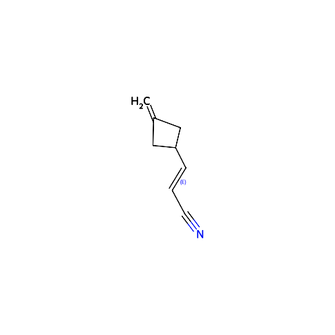 C=C1CC(/C=C/C#N)C1